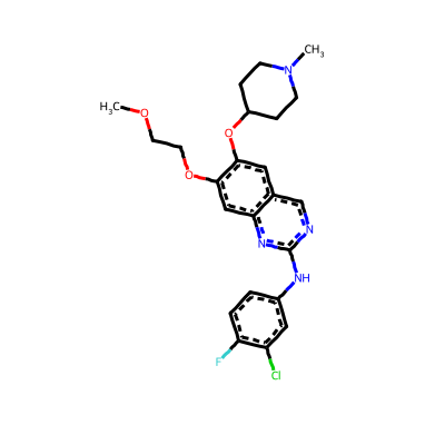 COCCOc1cc2nc(Nc3ccc(F)c(Cl)c3)ncc2cc1OC1CCN(C)CC1